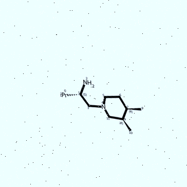 CC(C)[C@H](N)CN1CC[C@@H](C)[C@@H](C)C1